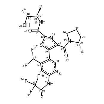 C[C@H](Nc1cc(C(F)F)c(-c2sc(C(=O)N[C@H](C)[C@@H](C)O)nc2C(=O)N2CCC[C@@H]2C)cn1)C(F)(F)F